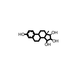 C[C@]12CCC3c4ccc(O)cc4CCC3C1C(O)C(O)[C@@H]2O